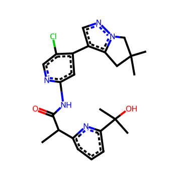 CC(C(=O)Nc1cc(-c2cnn3c2CC(C)(C)C3)c(Cl)cn1)c1cccc(C(C)(C)O)n1